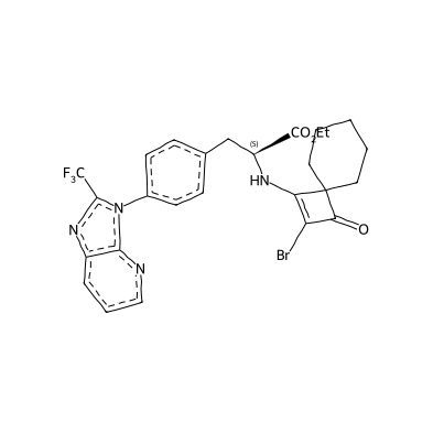 CCOC(=O)[C@H](Cc1ccc(-n2c(C(F)(F)F)nc3cccnc32)cc1)NC1=C(Br)C(=O)C12CCCCC2